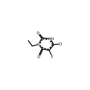 CCn1c(=O)[nH]c(Cl)c(F)c1=O